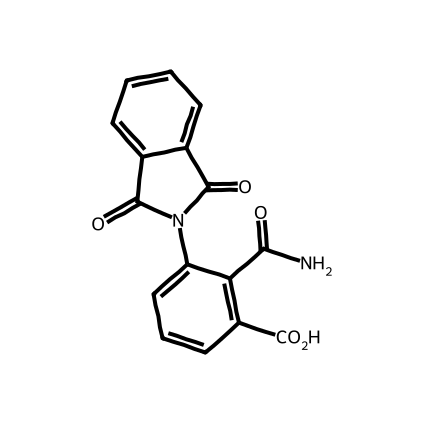 NC(=O)c1c(C(=O)O)cccc1N1C(=O)c2ccccc2C1=O